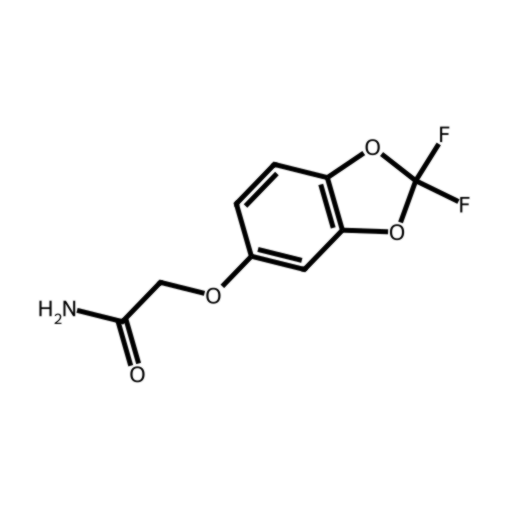 NC(=O)COc1ccc2c(c1)OC(F)(F)O2